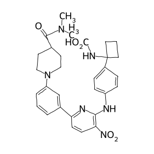 CN(C)C(=O)C1CCN(c2cccc(-c3ccc([N+](=O)[O-])c(Nc4ccc(C5(NC(=O)O)CCC5)cc4)n3)c2)CC1